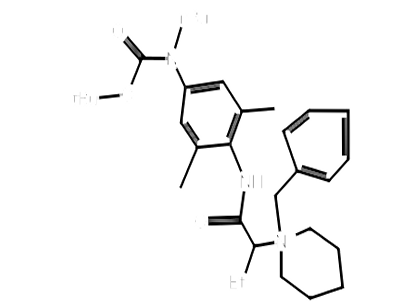 CCCCN(C(=O)OC(C)(C)C)c1cc(C)c(NC(=O)C(CC)[N+]2(Cc3ccccc3)CCCCC2)c(C)c1